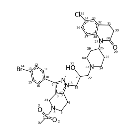 CS(=O)(=O)N1CCc2c(c(-c3ccc(Br)cc3)nn2CC(O)CN2CCC(N3C(=O)CCc4cc(Cl)ccc43)CC2)C1